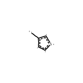 Ic1c[c]sc1